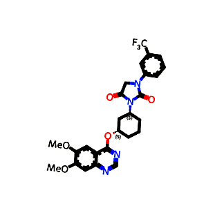 COc1cc2ncnc(O[C@H]3CCC[C@H](N4C(=O)CN(c5cccc(C(F)(F)F)c5)C4=O)C3)c2cc1OC